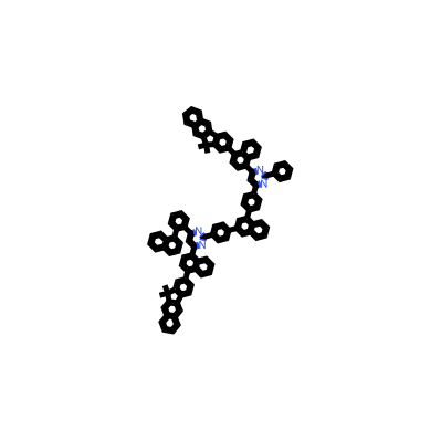 CC1(C)c2cc(-c3ccc(-c4cc(-c5ccc(-c6cc(-c7ccc(-c8nc(-c9ccccc9-c9cccc%10ccccc9%10)cc(-c9ccc(-c%10ccc%11c(c%10)C(C)(C)c%10cc%12ccccc%12cc%10-%11)c%10ccccc9%10)n8)cc7)cc7ccccc67)cc5)nc(-c5ccccc5)n4)c4ccccc34)ccc2-c2cc3ccccc3cc21